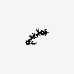 C#CCOc1ccccc1C=CC(=O)CC(=O)OCCC(C#N)c1ccc(C(F)(F)F)cc1